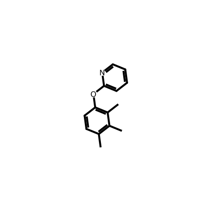 Cc1ccc(Oc2ccccn2)c(C)c1C